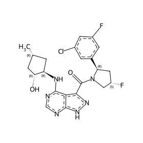 C[C@H]1C[C@@H](O)[C@H](Nc2ncnc3[nH]nc(C(=O)N4C[C@@H](F)C[C@@H]4c4cc(F)cc(Cl)c4)c23)C1